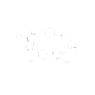 CCNC(=O)[C@H]1O[C@@H](n2cnc3c(N)nc(CC4CCN(C(=O)OC5CCC(=O)N5C)CC4)nc32)C(O)C1O